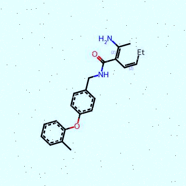 CC/C=C\C(C(=O)NCc1ccc(Oc2ccccc2C)cc1)=C(/C)N